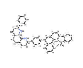 C[Si]1(C)c2ccccc2-c2ccc3cc(-c4ccc(-c5ccc6ccc7ccc(-c8ccccc8)nc7c6n5)cc4)c4ccccc4c3c21